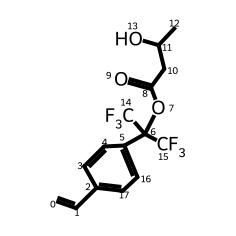 C=Cc1ccc(C(OC(=O)CC(C)O)(C(F)(F)F)C(F)(F)F)cc1